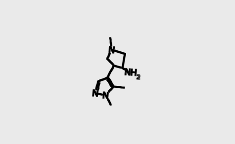 Cc1c(C2CN(C)CC2N)cnn1C